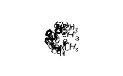 COc1cc(C(=O)OCC2(c3ccccc3)CCCN2C(=O)OC(C)OC(=O)CNC(C)=O)cc(OC)c1OC